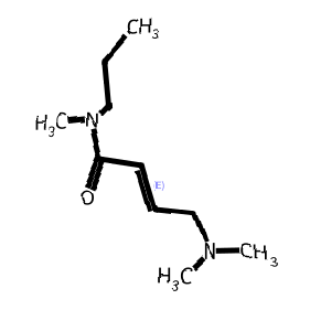 CCCN(C)C(=O)/C=C/CN(C)C